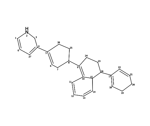 C1=CNCC(C2=CCC(C3=C4C=CC=CC4C(C4=CCCC=C4)CC3)CC2)=C1